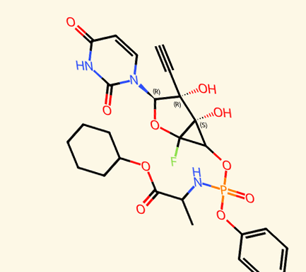 C#C[C@]1(O)[C@H](n2ccc(=O)[nH]c2=O)OC2(F)C(OP(=O)(NC(C)C(=O)OC3CCCCC3)Oc3ccccc3)[C@@]21O